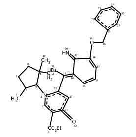 CCOC(=O)c1cn(C2C(C)CCC2(C)C)c(/C(=C2\C=CC=C(OCc3ccccc3)C2=N)C(C)CC)cc1=O